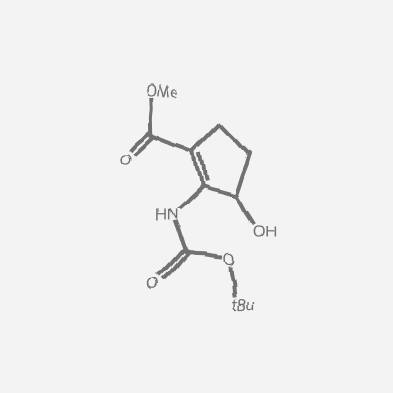 COC(=O)C1=C(NC(=O)OC(C)(C)C)C(O)CC1